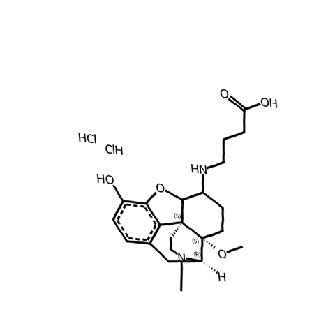 CO[C@@]12CCC(NCCCC(=O)O)C3Oc4c(O)ccc5c4[C@@]31CCN(C)[C@@H]2C5.Cl.Cl